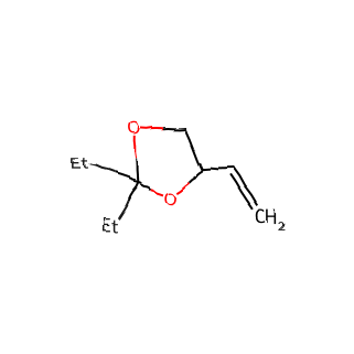 C=CC1COC(CC)(CC)O1